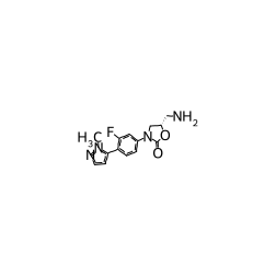 Cn1nccc1-c1ccc(N2C[C@H](CN)OC2=O)cc1F